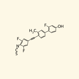 Cc1cc(-c2ccc(O)cc2F)ccc1C#Cc1cc(F)c(N=C=S)c(F)c1